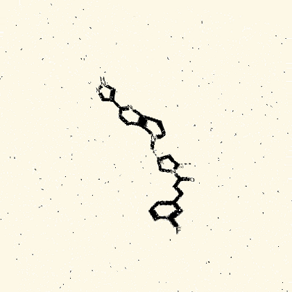 C[C@H]1C[C@@H](Cn2ccc3nc(-c4cn[nH]c4)ccc32)CN1C(=O)CCc1cccc(F)c1